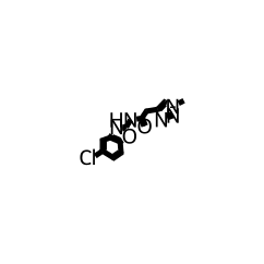 Cn1cc(CC(=O)Nc2nc3cc(Cl)ccc3o2)nn1